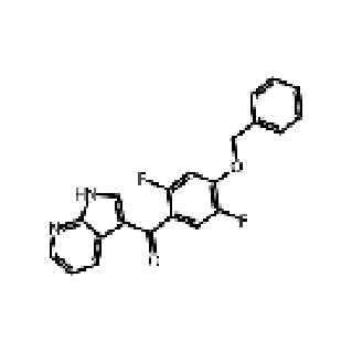 O=C(c1cc(F)c(OCc2ccccc2)cc1F)c1c[nH]c2ncccc12